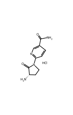 Cl.NC(=O)c1ccc(N2CC[C@H](N)C2=O)nc1